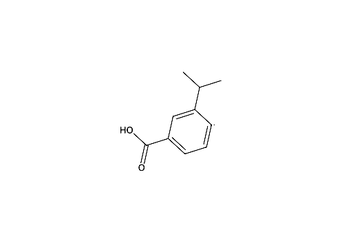 CC(C)c1[c]ccc(C(=O)O)c1